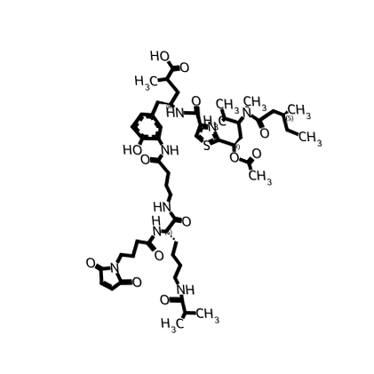 CC[C@H](C)CC(=O)N(C)C(C[C@@H](OC(C)=O)c1nc(C(=O)N[C@@H](Cc2ccc(O)c(NC(=O)CCCNC(=O)[C@H](CCCCNC(=O)C(C)C)NC(=O)CCCN3C(=O)C=CC3=O)c2)CC(C)C(=O)O)cs1)C(C)C